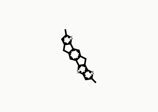 Cc1cc2c(s1)-c1cc3c(cc1C2)-c1sc2cc(C)sc2c1C3